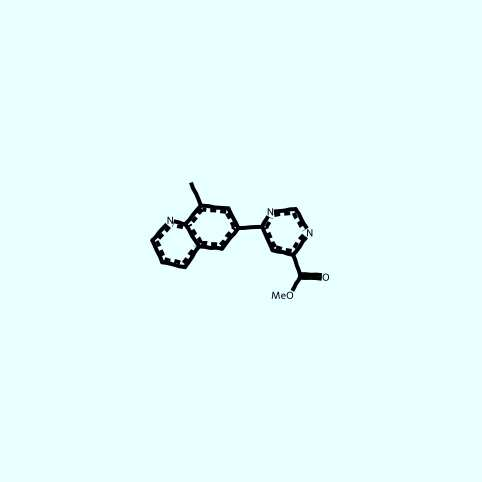 COC(=O)c1cc(-c2cc(C)c3ncccc3c2)ncn1